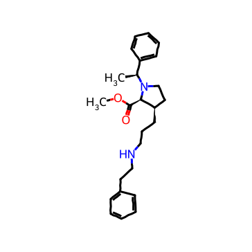 COC(=O)[C@@H]1[C@H](CCCNCCc2ccccc2)CCN1[C@@H](C)c1ccccc1